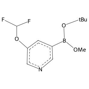 COB(OC(C)(C)C)c1cncc(OC(F)F)c1